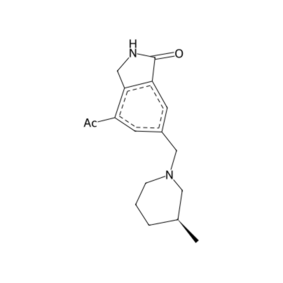 CC(=O)c1cc(CN2CCC[C@H](C)C2)cc2c1CNC2=O